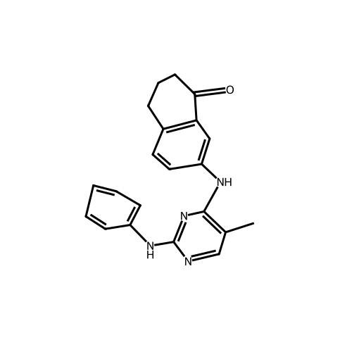 Cc1cnc(Nc2ccccc2)nc1Nc1ccc2c(c1)C(=O)CCC2